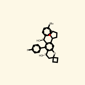 CC(C)(C)c1ccc([C@H](O)c2c(C3CCCC3)cc3c(c2-c2ccc(F)cc2)[C@@H](O)CC2(CCC2)O3)cc1